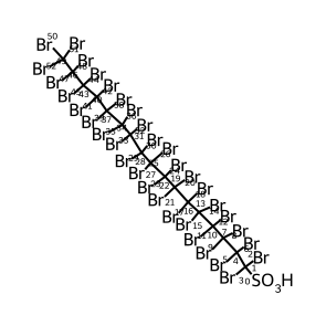 O=S(=O)(O)C(Br)(Br)C(Br)(Br)C(Br)(Br)C(Br)(Br)C(Br)(Br)C(Br)(Br)C(Br)(Br)C(Br)(Br)C(Br)(Br)C(Br)(Br)C(Br)(Br)C(Br)(Br)C(Br)(Br)C(Br)(Br)C(Br)(Br)C(Br)(Br)C(Br)(Br)Br